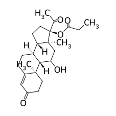 CCC(=O)O[C@]1(C(C)=O)CC[C@H]2[C@@H]3CCC4=CC(=O)CC[C@]4(C)[C@H]3C(O)C[C@@]21C